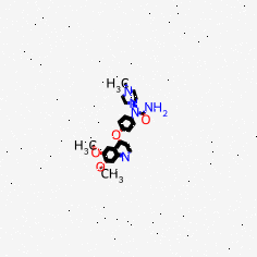 COc1cc2nccc(Oc3ccc(N(C(N)=O)N4CCN(C)CC4)cc3)c2cc1OC